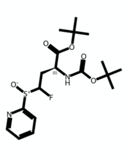 CC(C)(C)OC(=O)N[C@@H](CC(F)[S+]([O-])c1ccccn1)C(=O)OC(C)(C)C